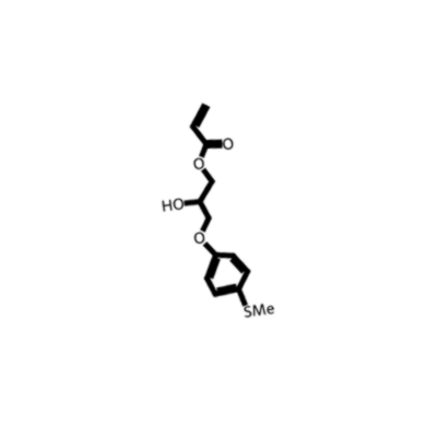 C=CC(=O)OCC(O)COc1ccc(SC)cc1